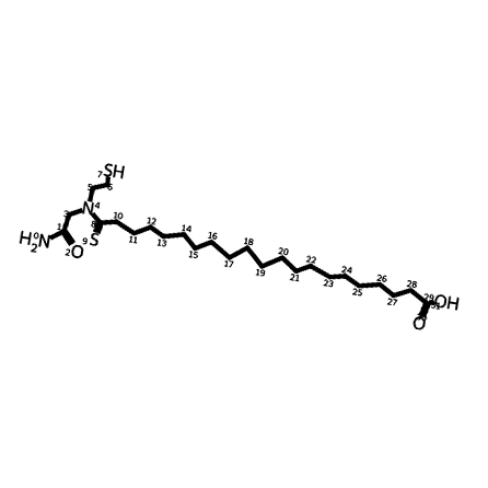 NC(=O)CN(CCS)C(=S)CCCCCCCCCCCCCCCCCCCC(=O)O